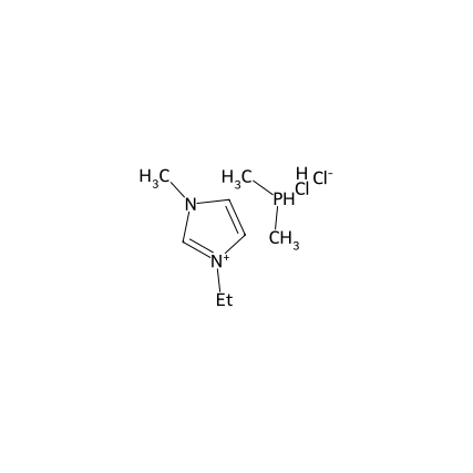 CC[n+]1ccn(C)c1.CPC.Cl.[Cl-]